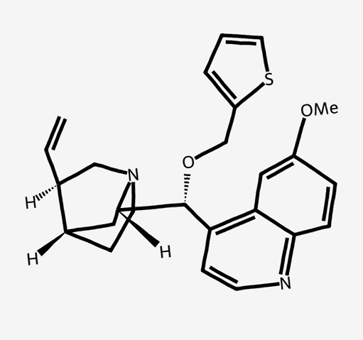 C=C[C@H]1CN2CC[C@H]1C[C@H]2[C@H](OCc1cccs1)c1ccnc2ccc(OC)cc12